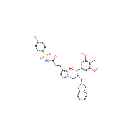 COc1cc([C@@H](O)[C@H](CC2Cc3ccccc3C2)Cn2ccc(CCC(=O)NS(=O)(=O)c3ccc(Cl)cc3)c2)cc(OC)c1C